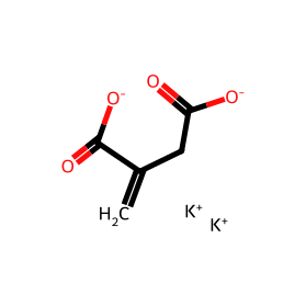 C=C(CC(=O)[O-])C(=O)[O-].[K+].[K+]